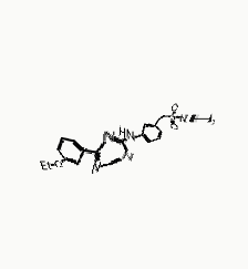 CCOc1cccc(-c2ncnc(Nc3cccc(CS(N)(=O)=O)c3)n2)c1